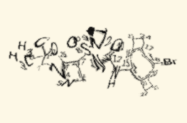 CC1(C)Cn2ncc(S(N)(=O)=NC(=O)Nc3c4c(c(Br)c5c3CC5)CC4)c2O1